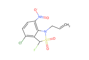 C=CCN1c2c([N+](=O)[O-])ccc(Cl)c2C(F)S1(=O)=O